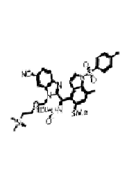 CSc1cc(C)c2c(ccn2S(=O)(=O)c2ccc(C)cc2)c1C(=N[S+]([O-])C(C)(C)C)c1nc2ccc(C#N)cc2n1COCC[Si](C)(C)C